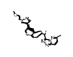 COCCn1cc(-c2cnc3ccc(C(F)c4nnc5ccc(C)nn45)cc3c2)cn1